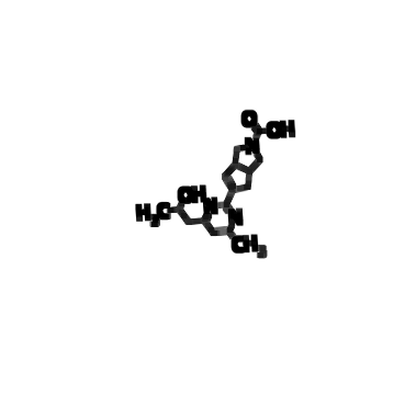 Cc1cc(CC(C)O)nc(C2=CC3CN(C(=O)O)CC3C2)n1